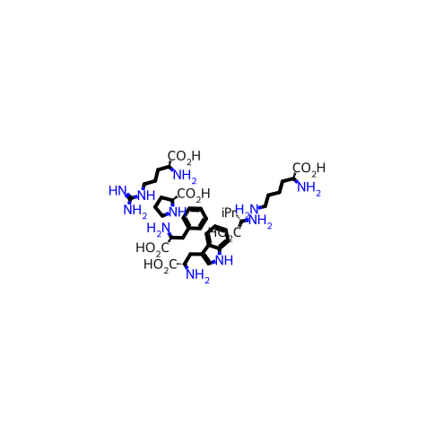 CC(C)[C@H](N)C(=O)O.N=C(N)NCCC[C@H](N)C(=O)O.NCCCC[C@H](N)C(=O)O.N[C@@H](Cc1c[nH]c2ccccc12)C(=O)O.N[C@@H](Cc1ccccc1)C(=O)O.O=C(O)[C@@H]1CCCN1